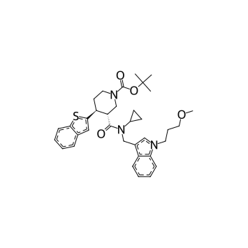 COCCCn1cc(CN(C(=O)[C@H]2CN(C(=O)OC(C)(C)C)CC[C@@H]2c2cc3ccccc3s2)C2CC2)c2ccccc21